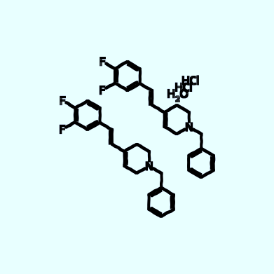 Cl.Cl.Fc1ccc(C=CC2=CCN(Cc3ccccc3)CC2)cc1F.Fc1ccc(C=CC2=CCN(Cc3ccccc3)CC2)cc1F.O